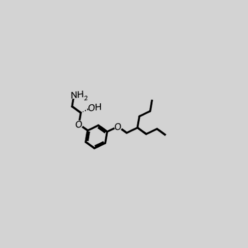 CCCC(CCC)COc1cccc(O[C@@H](O)CN)c1